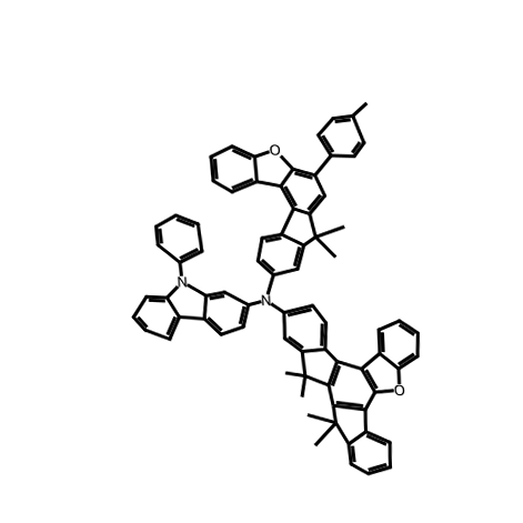 Cc1ccc(-c2cc3c(c4c2oc2ccccc24)-c2ccc(N(c4ccc5c(c4)C(C)(C)c4c6c(c7oc8ccccc8c7c4-5)-c4ccccc4C6(C)C)c4ccc5c6ccccc6n(-c6ccccc6)c5c4)cc2C3(C)C)cc1